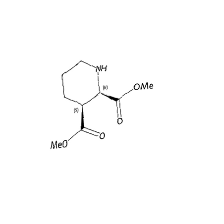 COC(=O)[C@H]1CCCN[C@H]1C(=O)OC